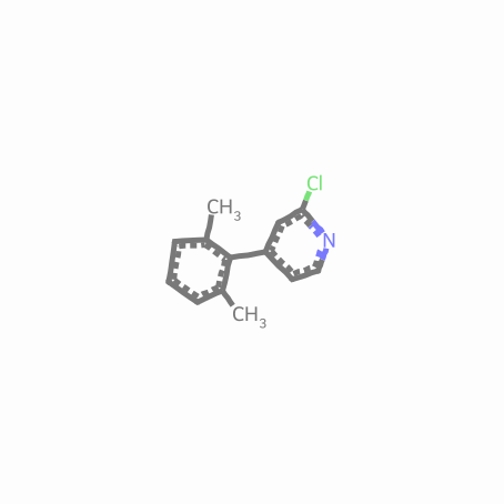 Cc1cccc(C)c1-c1ccnc(Cl)c1